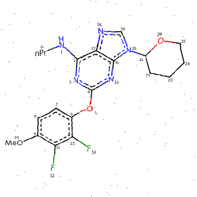 CCCNc1nc(Oc2ccc(OC)c(F)c2F)nc2c1ncn2C1CCCCO1